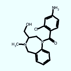 CN1Cc2ccccc2N(C(=O)c2ccc(N)cc2Cl)CC1CO